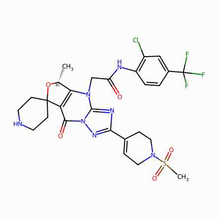 C[C@H]1OC2(CCNCC2)c2c1n(CC(=O)Nc1ccc(C(F)(F)F)cc1Cl)c1nc(C3=CCN(S(C)(=O)=O)CC3)nn1c2=O